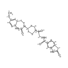 COC1=CC2CCN(C3CCN(C(=O)CNC(=O)c4ccc5c(c4)NC(=O)C5)CC3)C(=O)NC2C=C1